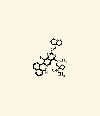 Cc1cccc2cccc(-c3ncc4c(N(C)CC5(N(C)C)CCC5)nc(OCC56CCCN5CCC6)nc4c3F)c12